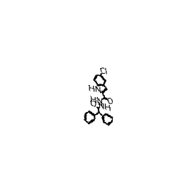 O=C(NNC(=O)C(c1ccccc1)c1ccccc1)c1cc2cc(Cl)ccc2[nH]1